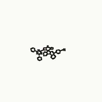 N#Cc1ccc(-c2cc3c(c4ccccc24)-c2ccccc2C32c3ccccc3Sc3ccc(-c4nc(-c5ccccc5)nc(-c5ccccc5)n4)cc32)cc1